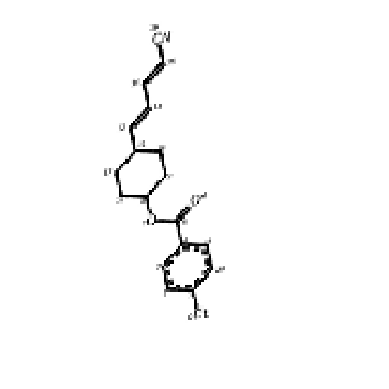 CCc1ccc(C(=O)OC2CCC(C=CC=CC#N)CC2)cc1